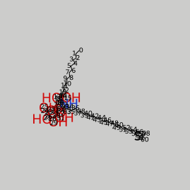 CCCCCCCCCCCCCC[C@@H](O)[C@@H](O)[C@H](COC1OC(CO)C(O)C(O)C1O)NC1(CCCCCCCCCCCCCCCCCCCCCCC[Si](C)(C)C)COC1